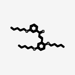 CCCCCOc1cccc(C(=O)C=Cc2cc(OCCCCC)ccc2OCCCCC)c1